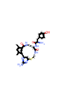 Cc1cc(C)c2cc1C(=O)NCC[C@@H](NC(=O)C(N)Cc1ccc(O)cc1)C(=O)NCCSc1cc-2nc(N)n1